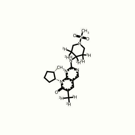 [2H]C([2H])([2H])c1cc2cnc(NC3([2H])C([2H])([2H])CN(S(C)(=O)=O)CC3([2H])[2H])nc2n([C@@H]2CCC[C@@H]2C)c1=O